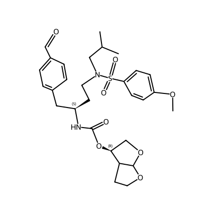 COc1ccc(S(=O)(=O)N(CC[C@H](Cc2ccc(C=O)cc2)NC(=O)O[C@H]2COC3OCCC32)CC(C)C)cc1